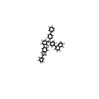 c1ccc(-c2ccc(N(c3ccc(-c4cccc5ccccc45)cc3)c3cccc4c3oc3cc5nc(-c6ccccc6)sc5cc34)cc2)cc1